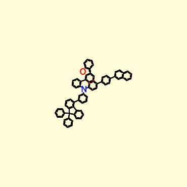 c1ccc(C2(c3ccccc3)c3ccccc3-c3c(-c4cccc(N(c5ccc(-c6ccc(-c7ccc8ccccc8c7)cc6)cc5)c5ccccc5-c5cccc6c5oc5ccccc56)c4)cccc32)cc1